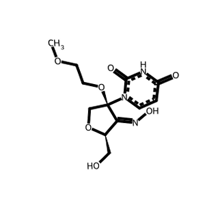 COCCO[C@]1(n2ccc(=O)[nH]c2=O)CO[C@H](CO)/C1=N/O